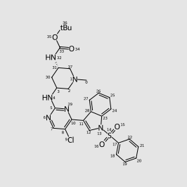 CN1CC(Nc2ncc(Cl)c(-c3cn(S(=O)(=O)c4ccccc4)c4ccccc34)n2)C[C@H](NC(=O)OC(C)(C)C)C1